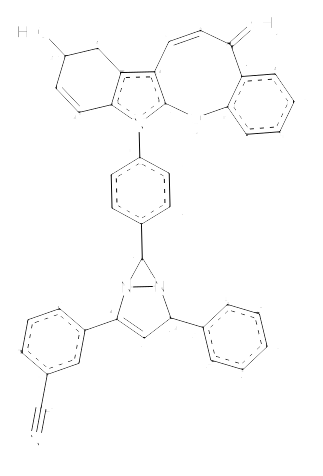 C=C1/C=C\c2c3c(n(-c4ccc(C5N6C(c7cccc(C#N)c7)=CC(c7ccccc7)N56)cc4)c2Oc2ccccc21)C=CC(C)C3